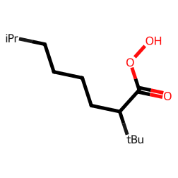 CC(C)CCCCC(C(=O)OO)C(C)(C)C